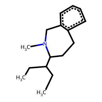 CCC(CC)C1CCc2ccccc2CN1C